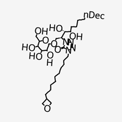 CCCCCCCCCCCCCC[C@@H](O)[C@@H](O)[C@H](COC1OC(CO)C(O)C(O)C1O)n1nnn(CCCCCCCCCCC2COC2)c1=O